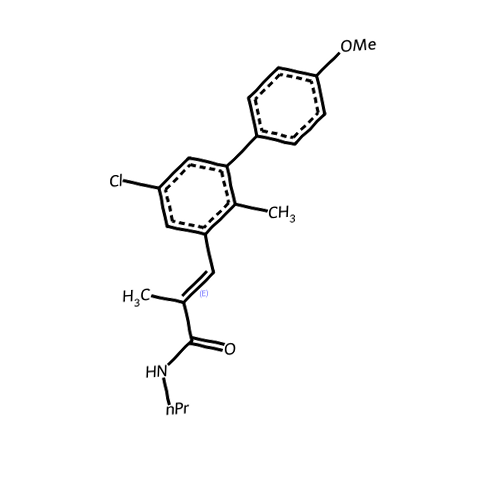 CCCNC(=O)/C(C)=C/c1cc(Cl)cc(-c2ccc(OC)cc2)c1C